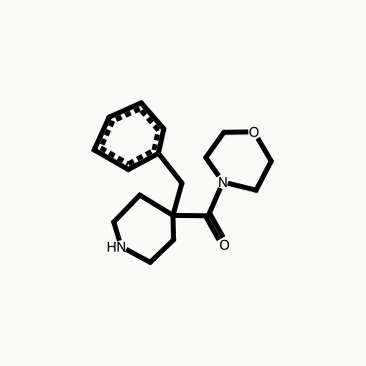 O=C(N1CCOCC1)C1(Cc2ccccc2)CCNCC1